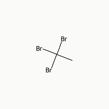 CC(Br)(Br)Br